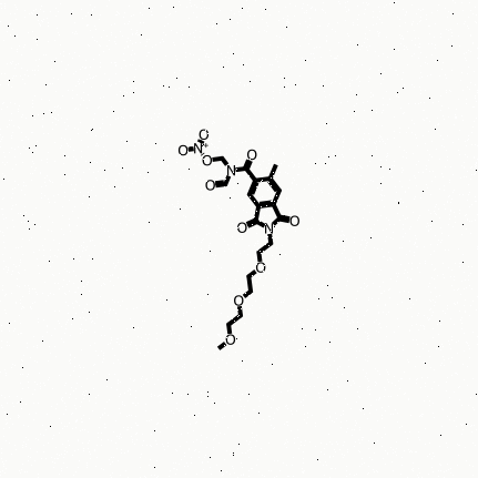 COCCOCCOCCN1C(=O)c2cc(C)c(C(=O)N(C=O)CO[N+](=O)[O-])cc2C1=O